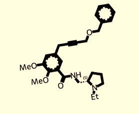 CCN1CCC[C@H]1CNC(=O)c1cc(CC#CCOCc2ccccc2)cc(OC)c1OC